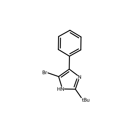 CC(C)(C)c1nc(-c2ccccc2)c(Br)[nH]1